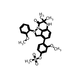 COc1cc(OS(C)(=O)=O)ccc1-c1ccc2c3c1CN(c1ccccc1OC)N3C(=O)C(C)(C)N2